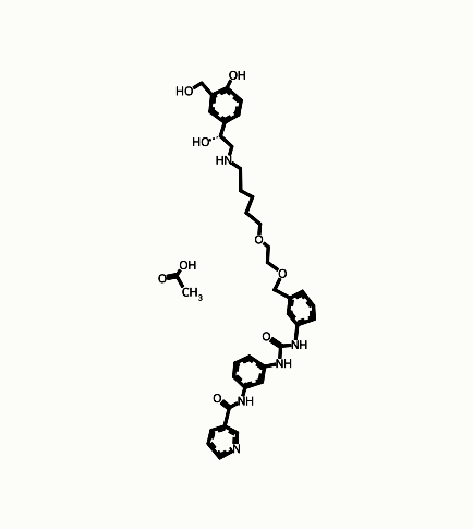 CC(=O)O.O=C(Nc1cccc(COCCOCCCCCNC[C@H](O)c2ccc(O)c(CO)c2)c1)Nc1cccc(NC(=O)c2cccnc2)c1